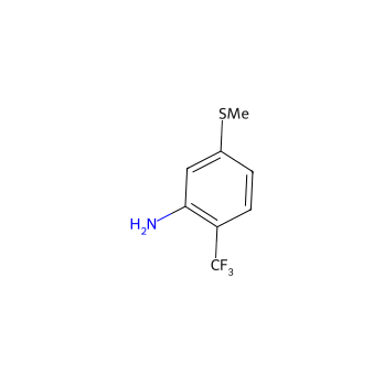 CSc1ccc(C(F)(F)F)c(N)c1